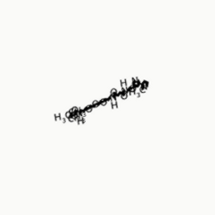 CN1CCC[C@H]1c1cncc(OCCNC(=O)CCC(=O)NCCCOCCOCCOCCCNC(=O)OC(C)(C)C)c1